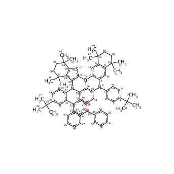 CC(C)(C)c1ccc(N2c3cc4c(cc3B3c5sc6c(c5N(c5ccc(C(C)(C)C)cc5-c5ccccc5)c5cc(N(c7ccccc7)c7ccccc7)cc2c53)C(C)(C)CCC6(C)C)C(C)(C)CCC4(C)C)cc1